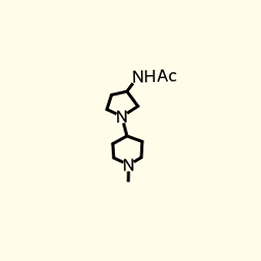 CC(=O)NC1CCN(C2CCN(C)CC2)C1